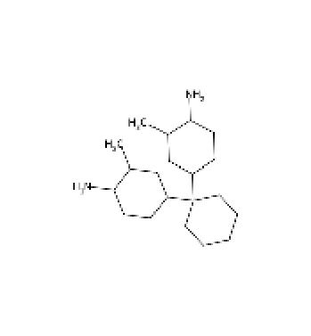 CC1CC(C2(C3CCC(N)C(C)C3)CCCCC2)CCC1N